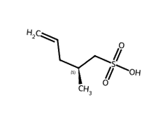 C=CC[C@H](C)CS(=O)(=O)O